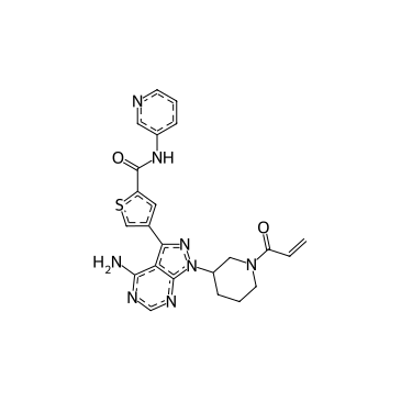 C=CC(=O)N1CCCC(n2nc(-c3csc(C(=O)Nc4cccnc4)c3)c3c(N)ncnc32)C1